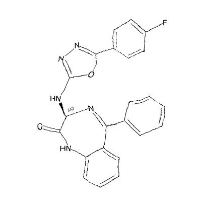 O=C1Nc2ccccc2C(c2ccccc2)=N[C@@H]1Nc1nnc(-c2ccc(F)cc2)o1